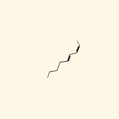 [CH2]C/C=C\C=C\CCCCCCCC